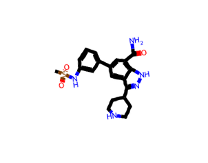 CS(=O)(=O)Nc1cccc(-c2cc(C(N)=O)c3[nH]nc(C4CCNCC4)c3c2)c1